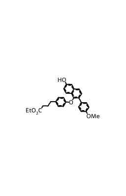 CCOC(=O)CCCc1ccc(Oc2c(-c3ccc(OC)cc3)ccc3cc(O)ccc23)cc1